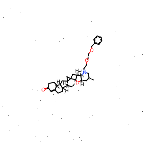 C[C@H]1C[C@H]2O[C@@]34CC[C@H]5[C@@H]6CCC7=CC(=O)CC[C@]7(C)[C@H]6CC56CC63C[C@@H]4[C@@H]2N(CCOCCOCc2ccccc2)C1